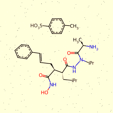 CC(C)C[C@@H](C(=O)NN(C(=O)[C@@H](C)N)C(C)C)[C@H](CC=Cc1ccccc1)C(=O)NO.Cc1ccc(S(=O)(=O)O)cc1